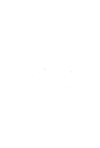 CC(C)(CC[C@@H]1C[C@@]1(CN=O)c1ccccc1)[Si](O)(c1ccccc1)c1ccccc1